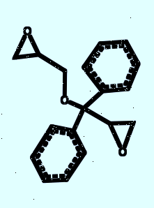 c1ccc(C(OCC2CO2)(c2ccccc2)C2CO2)cc1